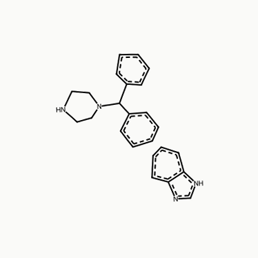 c1ccc(C(c2ccccc2)N2CCNCC2)cc1.c1ccc2[nH]cnc2c1